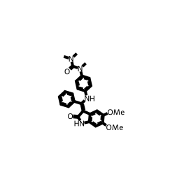 COc1cc2c(cc1OC)C(=C(Nc1ccc(N(C)C(=O)N(C)C)cc1)c1ccccc1)C(=O)N2